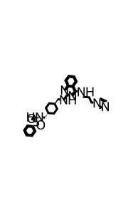 O=S(=O)(NC[C@H]1CC[C@H](CNc2nc(NCCCn3ccnc3)c3ccccc3n2)CC1)c1ccccc1